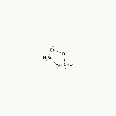 CCOC=O.O[SiH3]